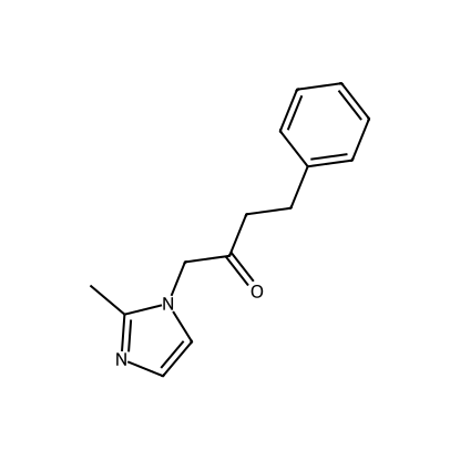 Cc1nccn1CC(=O)CCc1ccccc1